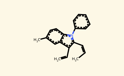 C=Cc1c(/C=C\C)n(-c2ccccc2)c2ccc(C)cc12